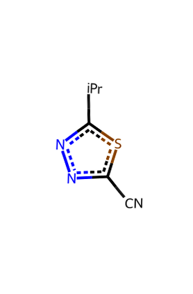 CC(C)c1nnc(C#N)s1